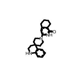 O=c1[nH]c(N2CCC3(CCNc4ccccc43)CC2)cc2c1CCCC2